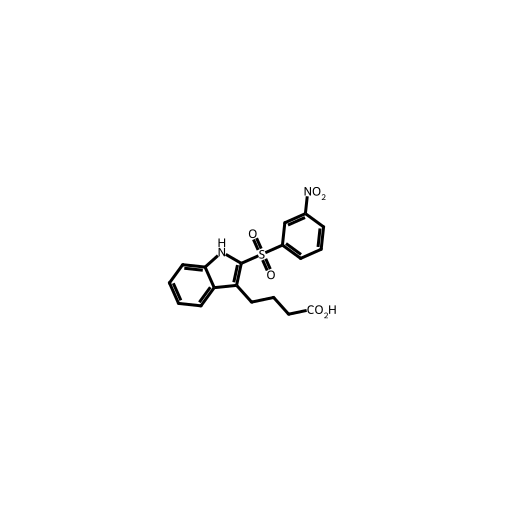 O=C(O)CCCc1c(S(=O)(=O)c2cccc([N+](=O)[O-])c2)[nH]c2ccccc12